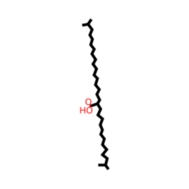 CC(C)CCCCCCCCCCCCCCCC(CCCCCCCCCCCC(C)C)C(=O)O